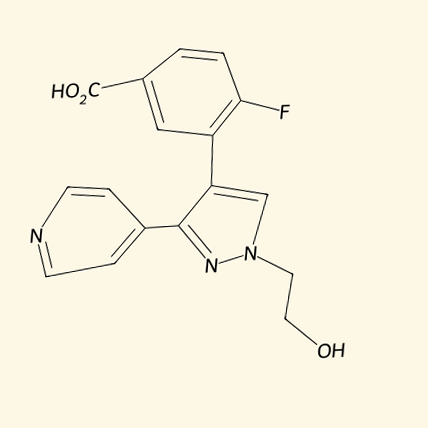 O=C(O)c1ccc(F)c(-c2cn(CCO)nc2-c2ccncc2)c1